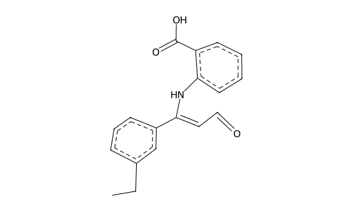 CCc1cccc(C(=CC=O)Nc2ccccc2C(=O)O)c1